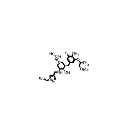 COC[C@@H](Oc1cc(C[C@@H]2C[S@@+]([O-])C[C@H](NCc3cnn(CC(C)(C)C)c3)[C@H]2O)cc(F)c1N)C(F)(F)F.Cl.Cl